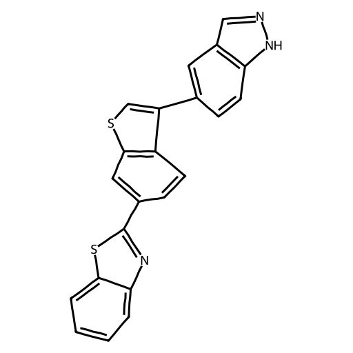 c1ccc2sc(-c3ccc4c(-c5ccc6[nH]ncc6c5)csc4c3)nc2c1